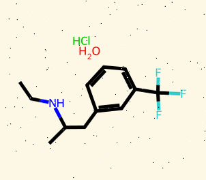 CCNC(C)Cc1cccc(C(F)(F)F)c1.Cl.O